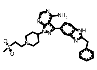 CS(=O)(=O)CCN1CCC(n2nc(-c3ccc4[nH]c(Cc5ccccc5)nc4c3)c3c(N)ncnc32)CC1